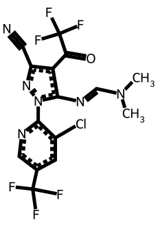 CN(C)C=Nc1c(C(=O)C(F)(F)F)c(C#N)nn1-c1ncc(C(F)(F)F)cc1Cl